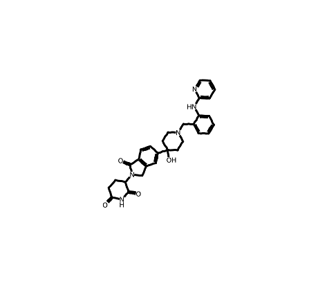 O=C1CCC(N2Cc3cc(C4(O)CCN(Cc5ccccc5Nc5ccccn5)CC4)ccc3C2=O)C(=O)N1